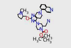 CN1CCCC1COc1nc2c(c(N3CCN(C(=O)OC(C)(C)C)C(CC#N)C3)n1)CCN(c1cccc3cnccc13)C2